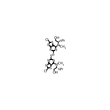 CCC[C@H](CO)N(C)c1nc(SSc2nc(N(C)[C@@H](CO)CCC)c3sc(Cl)nc3n2)nc2nc(Cl)sc12